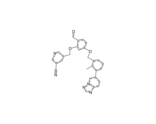 Cc1c(COc2ccc(C=O)c(OCc3cncc(C#N)c3)c2)cccc1-c1ccc2ncnn2c1